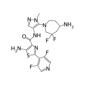 Cn1ncc(NC(=O)c2nc(-c3c(F)cncc3F)sc2N)c1N1CCC(N)CC(F)(F)C1